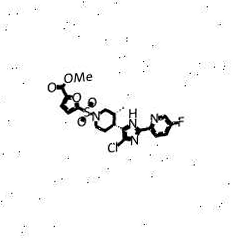 COC(=O)c1ccc(S(=O)(=O)N2CC[C@@H](c3[nH]c(-c4ccc(F)cn4)nc3Cl)[C@@H](C)C2)o1